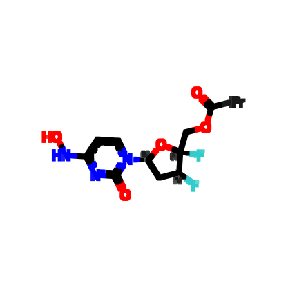 CC(C)C(=O)OC[C@@]1(F)O[C@@H](n2ccc(NO)nc2=O)C[C@@H]1F